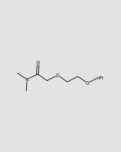 CCCOCCOCC(=O)N(C)C